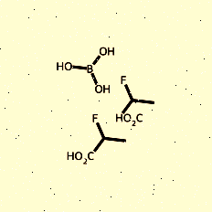 CC(F)C(=O)O.CC(F)C(=O)O.OB(O)O